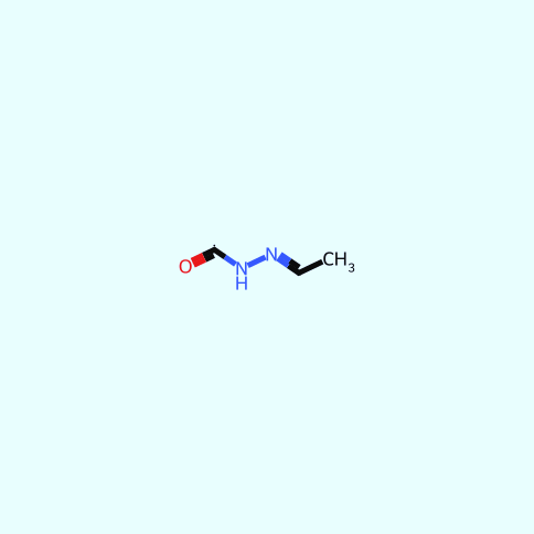 C/C=N/N[C]=O